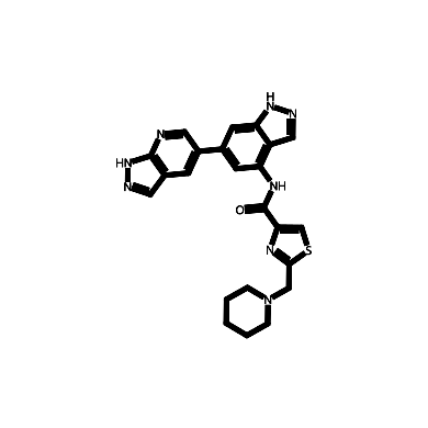 O=C(Nc1cc(-c2cnc3[nH]ncc3c2)cc2[nH]ncc12)c1csc(CN2CCCCC2)n1